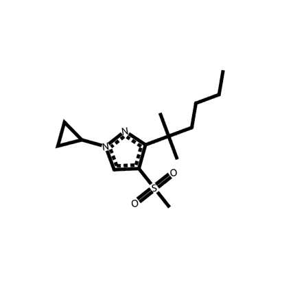 CCCCC(C)(C)c1nn(C2CC2)cc1S(C)(=O)=O